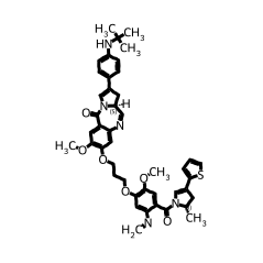 C=Nc1cc(OCCCOc2cc3c(cc2OC)C(=O)N2C=C(c4ccc(NC(C)(C)C)cc4)C[C@H]2C=N3)c(OC)cc1C(=O)N1C=C(c2cccs2)C[C@H]1C